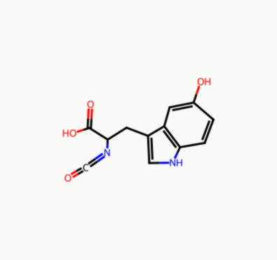 O=C=NC(Cc1c[nH]c2ccc(O)cc12)C(=O)O